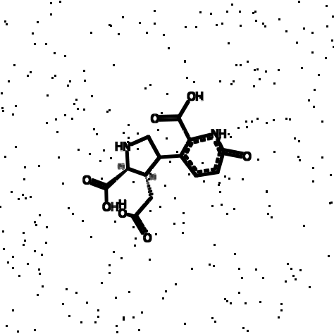 O=C(O)C[C@H]1C(c2ccc(=O)[nH]c2C(=O)O)CN[C@@H]1C(=O)O